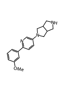 COc1cccc(-c2ccc(N3CC4CNCC4C3)cn2)c1